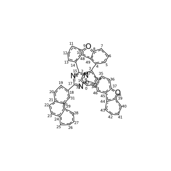 c1ccc(-c2cccc3oc4cccc(-c5nc(-c6ccc7ccc8ccccc8c7c6)nc(-c6ccc7oc8ccccc8c7c6)n5)c4c23)cc1